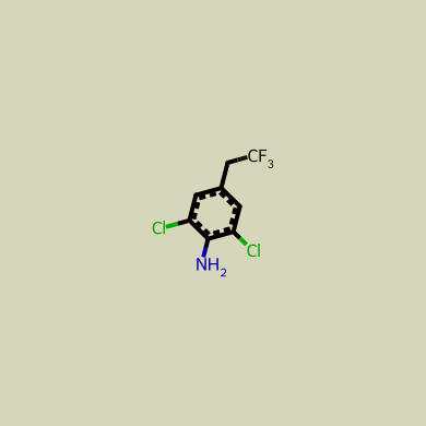 Nc1c(Cl)cc(CC(F)(F)F)cc1Cl